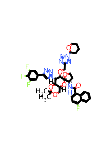 CC1(C)OC[C@H]2O[C@]3(OCC[C@H]3NC(=O)c3ccc(F)c4ccccc34)[C@H](OCc3nnn(C4CCCCO4)n3)[C@@H](n3cc(-c4cc(F)c(F)c(F)c4)nn3)[C@H]2O1